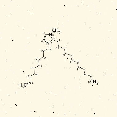 CCCCCCCCCCCCC1N(C)C=CN1CCCCCCCCCC